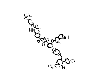 COC1CCN(C(=O)Nc2ccc(S(=O)(=O)NC(=O)c3ccc(N4CCN(CC5=C(c6ccc(Cl)cc6)CC(C)(C)CC5)CC4)cc3Oc3cnc4[nH]ccc4c3)cc2Cl)CC1